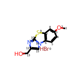 Br.COc1ccc2c(c1)sc1nc(CO)cn12